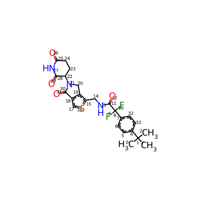 CC(C)(C)c1ccc(C(F)(F)C(=O)NCc2scc3c2CN(C2CCC(=O)NC2=O)C3=O)cc1